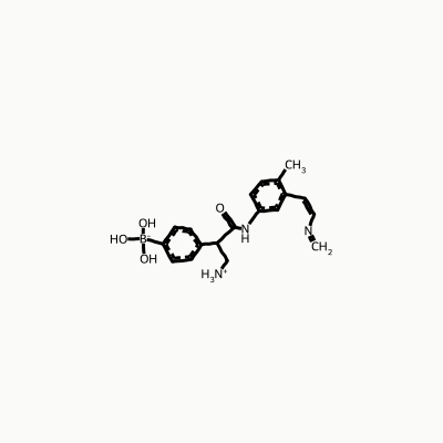 C=N/C=C\c1cc(NC(=O)C(C[NH3+])c2ccc([B-](O)(O)O)cc2)ccc1C